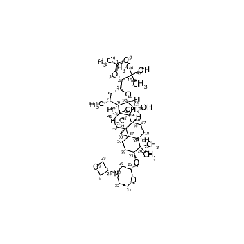 CC(=O)O[C@@H]([C@H]1C[C@@H](C)[C@H]2[C@H](O1)[C@H](O)[C@@]1(C)[C@@H]3CC[C@H]4C(C)(C)[C@@H](O[C@H]5CN(C6COC6)CCO5)CCC45C[C@@]35CC[C@]21C)C(C)(C)O